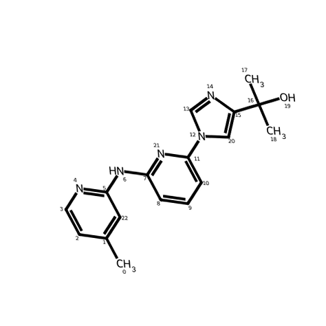 Cc1ccnc(Nc2cccc(-n3cnc(C(C)(C)O)c3)n2)c1